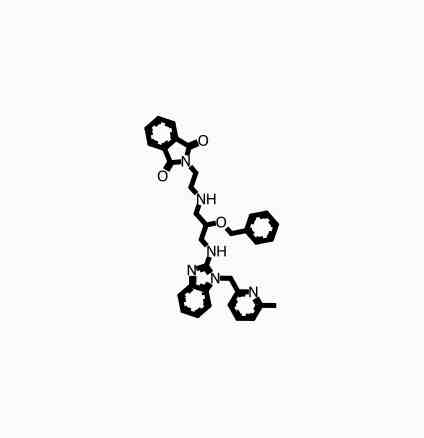 Cc1cccc(Cn2c(NCC(CNCCN3C(=O)c4ccccc4C3=O)OCc3ccccc3)nc3ccccc32)n1